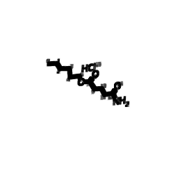 CCCCCCOC(=O)CCCC(N)=O.Cl